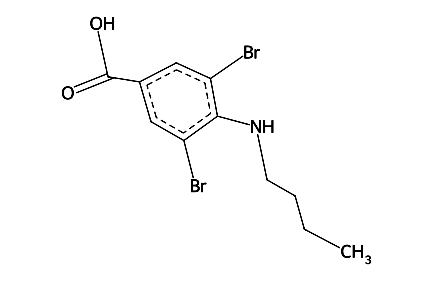 CCCCNc1c(Br)cc(C(=O)O)cc1Br